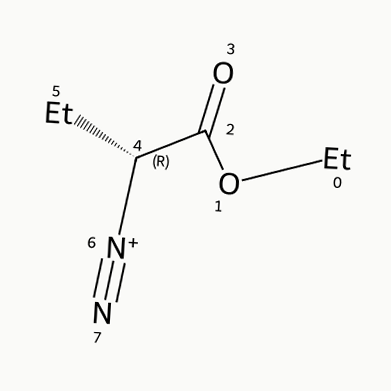 CCOC(=O)[C@@H](CC)[N+]#N